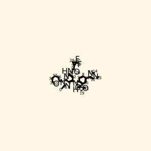 Cc1nc2c(Nc3ccc(-c4cn(C)cn4)cc3S(C)(=O)=O)cc(NC(=O)C3CC3(F)F)nc2n1C1CCCCO1